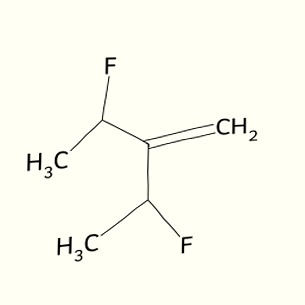 C=C(C(C)F)C(C)F